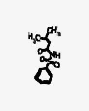 CC(C)CC(=O)NS(=O)(=O)c1ccccc1